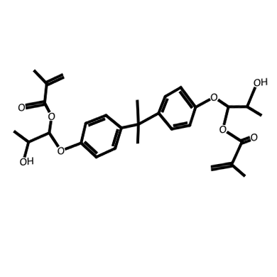 C=C(C)C(=O)OC(Oc1ccc(C(C)(C)c2ccc(OC(OC(=O)C(=C)C)C(C)O)cc2)cc1)C(C)O